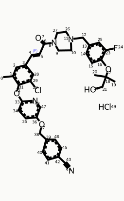 Cc1cc(/C=C/C(=O)N2CCN(Cc3ccc(OC(C)(C)CO)c(F)c3)CC2)cc(Cl)c1Oc1ccc(OCc2ccc(C#N)cc2)cn1.Cl